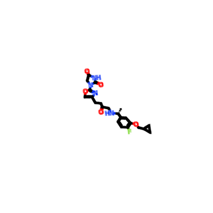 C[C@@H](NCC(=O)CCc1coc(N2CC(=O)NC2=O)n1)c1ccc(F)c(OCC2CC2)c1